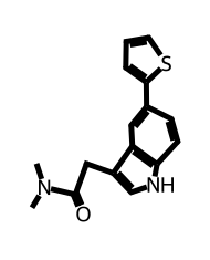 CN(C)C(=O)Cc1c[nH]c2ccc(-c3cccs3)cc12